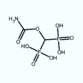 NC(=O)OC(P(=O)(O)O)P(=O)(O)O